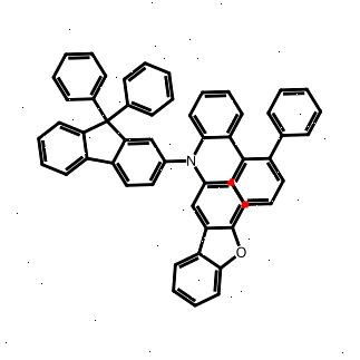 c1ccc(-c2ccccc2-c2ccccc2N(c2ccc3c(c2)C(c2ccccc2)(c2ccccc2)c2ccccc2-3)c2ccc3oc4ccccc4c3c2)cc1